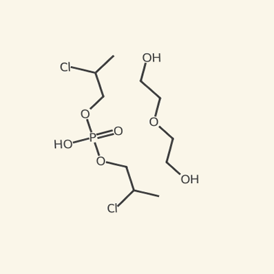 CC(Cl)COP(=O)(O)OCC(C)Cl.OCCOCCO